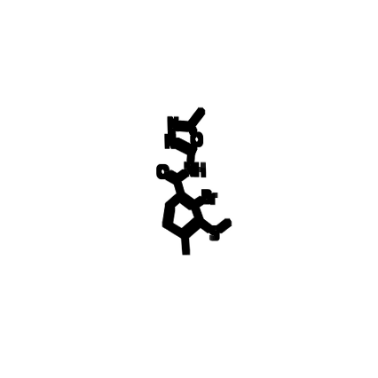 CSc1c(C)ccc(C(=O)Nc2nnc(C)o2)c1Br